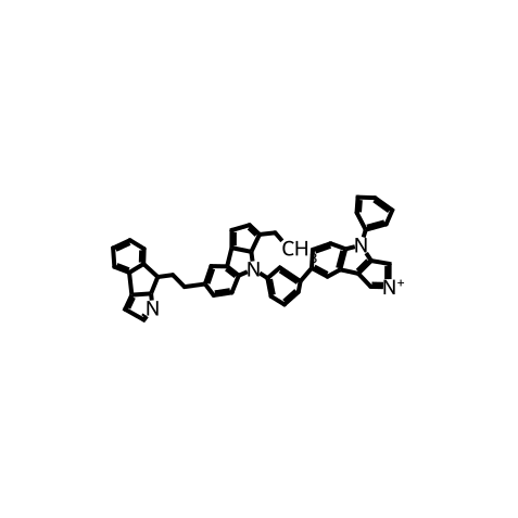 CCC1=CC=C2c3cc(CCC4c5ccccc5C5=CC=NC54)ccc3N(c3cccc(-c4ccc5c(c4)c4c(n5-c5ccccc5)C=[N+]=C4)c3)C12